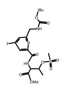 COC(=O)C(NC(=O)c1cc(F)cc(CNC(=O)OC(C)(C)C)n1)C(C)OS(C)(=O)=O